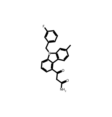 Cc1c[c]c2c3c(C(=O)CC(N)=O)cccc3n(Cc3cccc(F)c3)c2c1